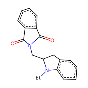 CCN1c2ccccc2CC1CN1C(=O)c2ccccc2C1=O